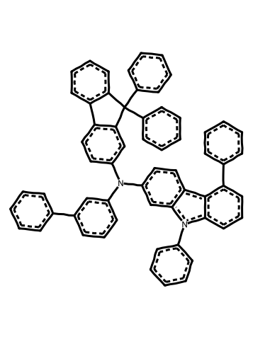 c1ccc(-c2cccc(N(c3ccc4c(c3)C(c3ccccc3)(c3ccccc3)c3ccccc3-4)c3ccc4c5c(-c6ccccc6)cccc5n(-c5ccccc5)c4c3)c2)cc1